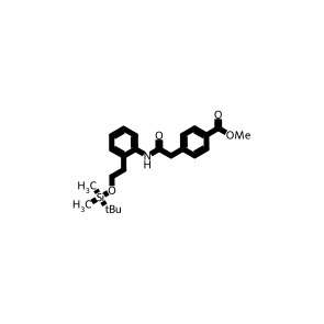 COC(=O)c1ccc(CC(=O)Nc2ccccc2CCO[Si](C)(C)C(C)(C)C)cc1